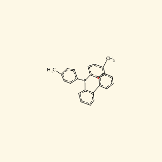 Cc1ccc(P(c2ccc(C)cc2)c2ccccc2-c2ccccc2)cc1